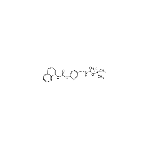 CC(C)(C)OC(=O)NCc1ccc(OC(=O)Oc2cccc3ccccc23)cc1